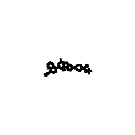 C[C@@H]1CN(c2ccc(C#N)c3ncccc23)C[C@@H]2c3ccc(N4CCN(C(=O)OC(C)(C)C)CC4)cc3CN12